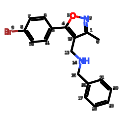 Cc1noc(-c2ccc(Br)cc2)c1CNCc1ccccc1